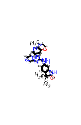 CN1CCOc2cc([N+]34C=CN=CC3=NC(Nc3ccc5c(c3)NC(=O)C5(C)C)=N4)cnc21